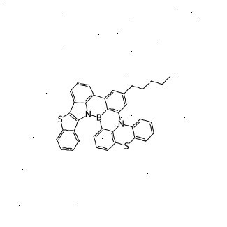 CCCCCc1cc2c3c(c1)N1c4ccccc4Sc4cccc(c41)B3n1c3c-2cccc3c2sc3ccccc3c21